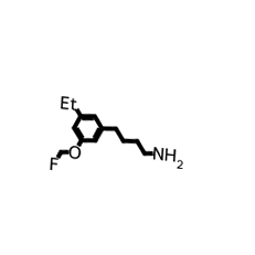 CCc1cc(CCCCN)cc(OCF)c1